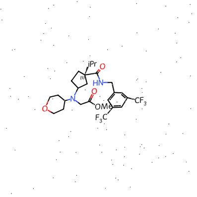 COC(=O)CN(C1CCOCC1)C1CC[C@@](C(=O)NCc2cc(C(F)(F)F)cc(C(F)(F)F)c2)(C(C)C)C1